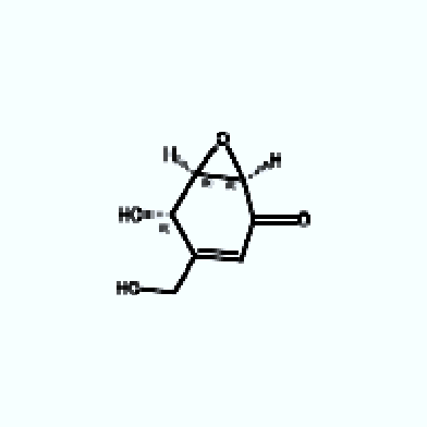 O=C1C=C(CO)[C@H](O)[C@H]2O[C@@H]12